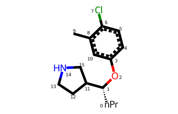 CCC[C@@H](Oc1ccc(Cl)c(C)c1)C1CCNC1